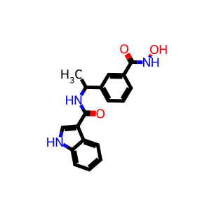 CC(NC(=O)c1c[nH]c2ccccc12)c1cccc(C(=O)NO)c1